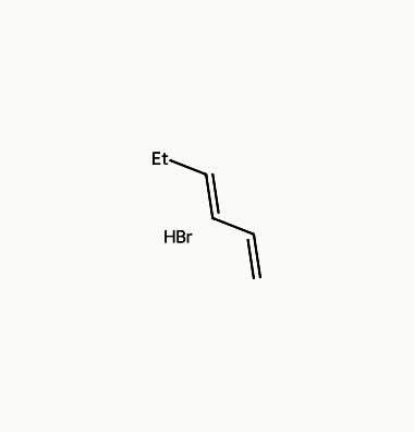 Br.C=CC=CCC